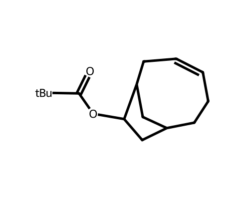 CC(C)(C)C(=O)OC1CC2CCC=CCC1C2